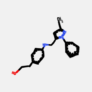 Cc1cc(CNc2ccc(CCO)cc2)n(-c2ccccc2)n1